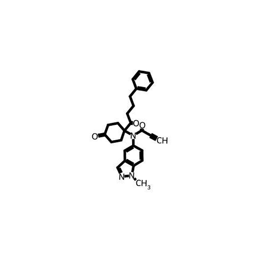 C#CC(=O)N(c1ccc2c(cnn2C)c1)C1(C(=O)CCCc2ccccc2)CCC(=O)CC1